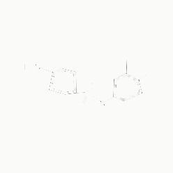 Cc1ccc(NS(=O)(=O)c2ccc(N)cc2)cc1C